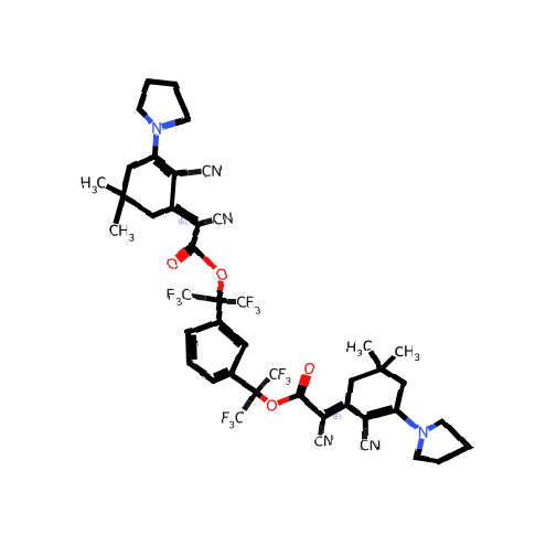 CC1(C)CC(N2CCCC2)=C(C#N)/C(=C(\C#N)C(=O)OC(c2cccc(C(OC(=O)/C(C#N)=C3\CC(C)(C)CC(N4CCCC4)=C3C#N)(C(F)(F)F)C(F)(F)F)c2)(C(F)(F)F)C(F)(F)F)C1